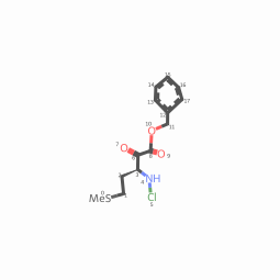 CSCC[C@H](NCl)C(=O)C(=O)OCc1ccccc1